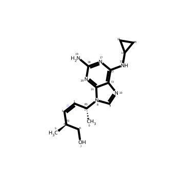 C[C@H](/C=C\[C@H](C)CO)n1cnc2c(NC3CC3)nc(N)nc21